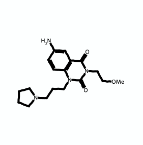 COCCn1c(=O)c2cc(N)ccc2n(CCCN2CCCC2)c1=O